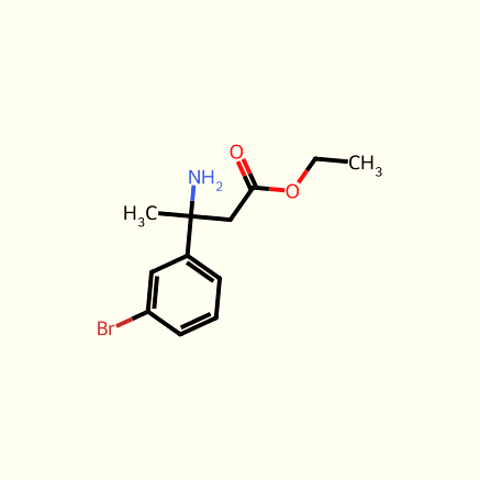 CCOC(=O)CC(C)(N)c1cccc(Br)c1